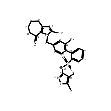 CCCc1nc2c(n1Cc1ccc(-c3ccccc3S(=O)(=O)Nc3noc(C)c3C)c(F)c1)C(=O)CCCC2